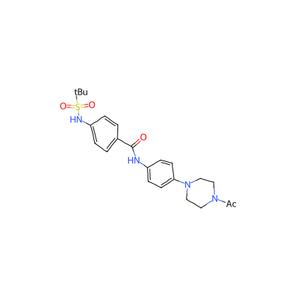 CC(=O)N1CCN(c2ccc(NC(=O)c3ccc(NS(=O)(=O)C(C)(C)C)cc3)cc2)CC1